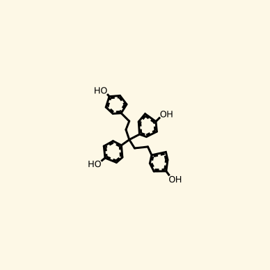 Oc1ccc(CCC(CCc2ccc(O)cc2)(c2ccc(O)cc2)c2ccc(O)cc2)cc1